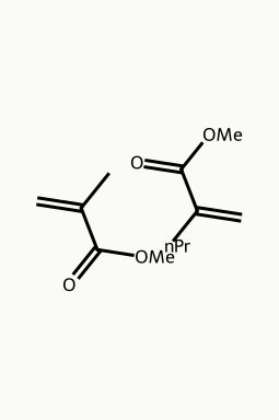 C=C(C)C(=O)OC.C=C(CCC)C(=O)OC